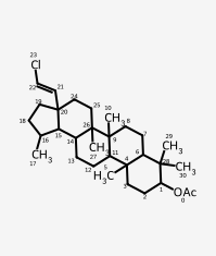 CC(=O)OC1CCC2(C)C(CCC3(C)C2CCC2C4C(C)CCC4(/C=C/Cl)CCC23C)C1(C)C